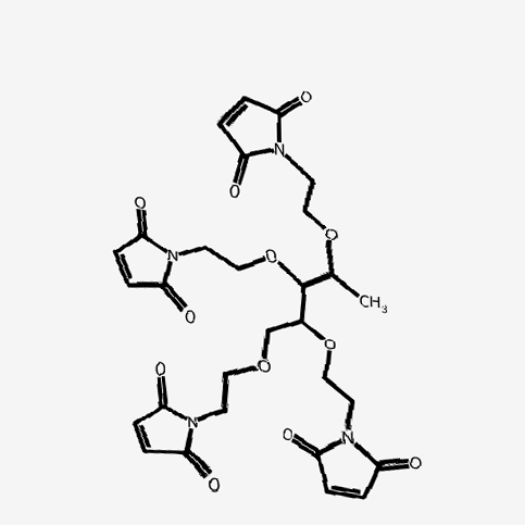 CC(OCCN1C(=O)C=CC1=O)C(OCCN1C(=O)C=CC1=O)C(COCCN1C(=O)C=CC1=O)OCCN1C(=O)C=CC1=O